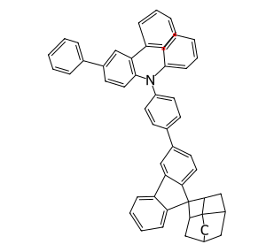 c1ccc(-c2ccc(N(c3ccccc3)c3ccc(-c4ccc5c(c4)-c4ccccc4C54C5CC6CC7CC4C75C6)cc3)c(-c3ccccc3)c2)cc1